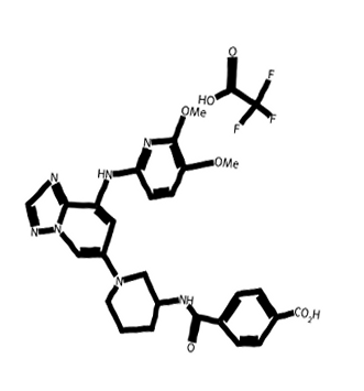 COc1ccc(Nc2cc(N3CCCC(NC(=O)c4ccc(C(=O)O)cc4)C3)cn3ncnc23)nc1OC.O=C(O)C(F)(F)F